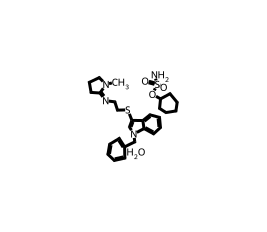 CN1CCCC1=NCCSc1cn(Cc2ccccc2)c2ccccc12.NS(=O)(=O)OC1CCCCC1.O